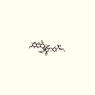 N=C(N)c1ccc(C[C@@H](NS(=O)(=O)c2cc(F)c(Oc3ccc(F)cc3)c(F)c2)C(=O)NO)cc1